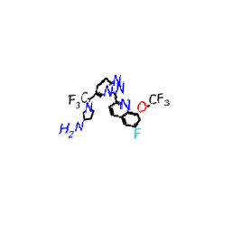 N[C@H]1CCN([C@H](c2ccc3nnc(-c4ccc5cc(F)cc(OCC(F)(F)F)c5n4)n3c2)C(F)(F)F)C1